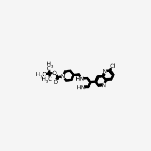 CC(C)(C)OC(=O)N1CCC(CNCC(C=N)c2cnc3ccc(Cl)nc3c2)CC1